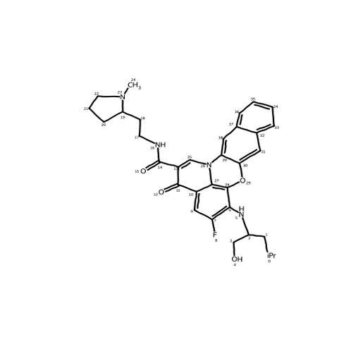 CC(C)CC(CO)Nc1c(F)cc2c(=O)c(C(=O)NCCC3CCCN3C)cn3c2c1Oc1cc2ccccc2cc1-3